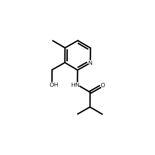 Cc1ccnc(NC(=O)C(C)C)c1CO